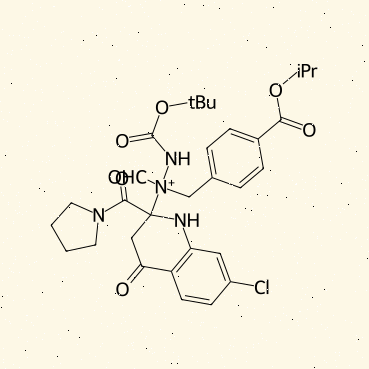 CC(C)OC(=O)c1ccc(C[N+](C=O)(NC(=O)OC(C)(C)C)C2(C(=O)N3CCCC3)CC(=O)c3ccc(Cl)cc3N2)cc1